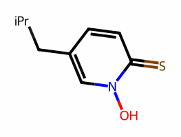 CC(C)Cc1ccc(=S)n(O)c1